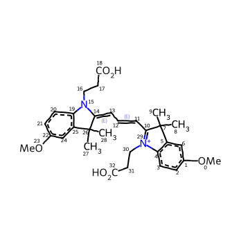 COc1ccc2c(c1)C(C)(C)C(/C=C/C=C1/N(CCC(=O)O)c3ccc(OC)cc3C1(C)C)=[N+]2CCC(=O)O